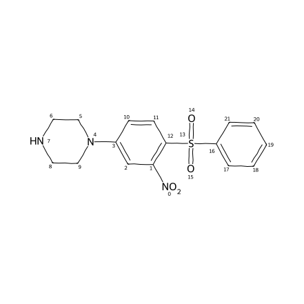 O=[N+]([O-])c1cc(N2CCNCC2)ccc1S(=O)(=O)c1ccccc1